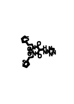 O=C1C(=CNn2ncnn2)C(=O)N(CCc2cccs2)S(=O)(=O)N1CCc1cccs1